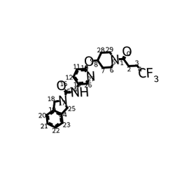 O=C(CCC(F)(F)F)N1CCC(Oc2ccc(NC(=O)N3Cc4ccccc4C3)cn2)CC1